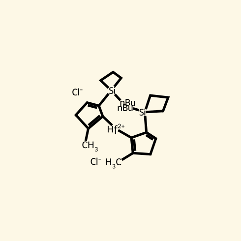 CCCC[Si]1(C2=CCC(C)=[C]2[Hf+2][C]2=C(C)CC=C2[Si]2(CCCC)CCC2)CCC1.[Cl-].[Cl-]